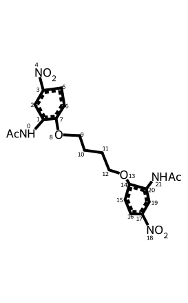 CC(=O)Nc1cc([N+](=O)[O-])ccc1OCCCCOc1ccc([N+](=O)[O-])cc1NC(C)=O